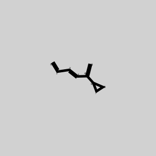 C=CC=CC(=C)C1CC1